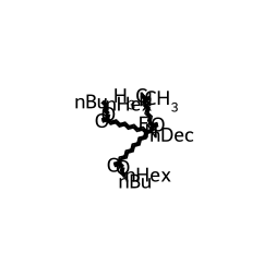 CCCCCCCCCCN(C(=O)C(F)CCCCN(C)C)C(CCCCCCCCC(=O)OCC(CCCC)CCCCCC)CCCCCCCCC(=O)OCC(CCCC)CCCCCC